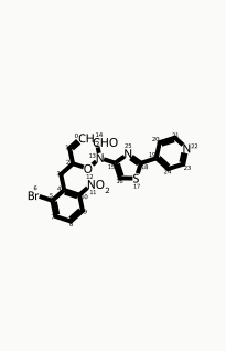 C=CC(Cc1c(Br)cccc1[N+](=O)[O-])ON(C=O)c1csc(-c2ccncc2)n1